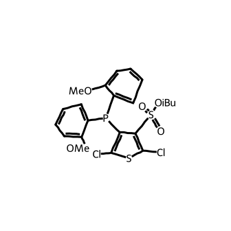 COc1ccccc1P(c1ccccc1OC)c1c(Cl)sc(Cl)c1S(=O)(=O)OCC(C)C